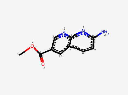 COC(=O)c1cnc2nc(N)ccc2c1